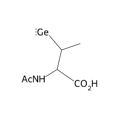 CC(=O)NC(C(=O)O)[CH](C)[Ge]